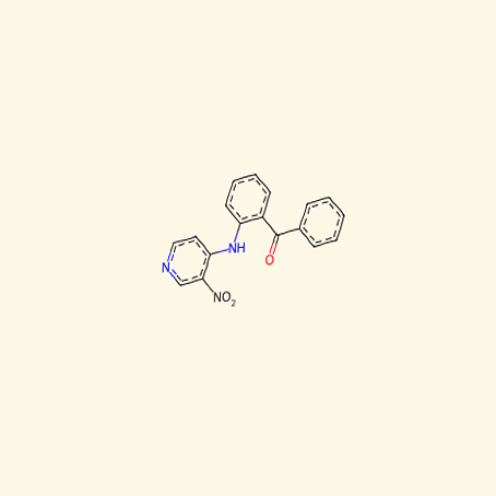 O=C(c1ccccc1)c1ccccc1Nc1ccncc1[N+](=O)[O-]